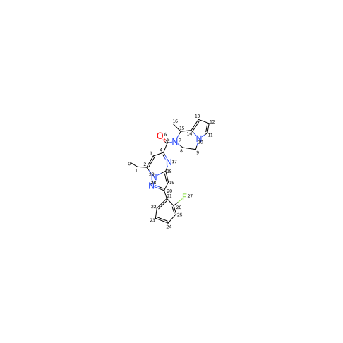 CCc1cc(C(=O)N2CCn3cccc3C2C)nc2cc(-c3ccccc3F)nn12